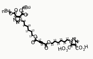 CCCCOC(=O)c1nnn(CCCCCCOC(=O)C#CC(=O)OCCCCCCn2nnc(C(=O)O)c2C(=O)O)c1C(=O)OCCCC